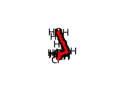 O=C(CCCC[C@H]1SC[C@H]2NC(=O)N[C@H]21)NCCOCCOCCOCCOCCC(=O)NCCOCCOCCOCCOCCNc1c(NCCOCCOCCO[C@H]2C[C@H](O)[C@@H](NC(=O)CO)[C@H]([C@H](O)[C@H](O)CNC(=O)Cc3ccc(Cl)cc3)O2)c(=O)c1=O